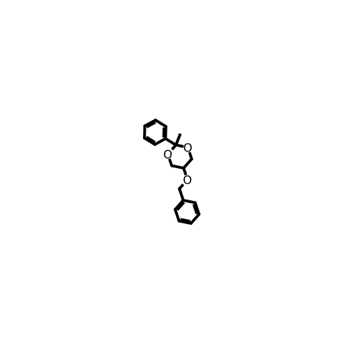 CC1(c2ccccc2)OCC(OCc2ccccc2)CO1